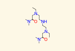 CCN(CCNCCN(CC)CC(=O)N(C)C)CC(=O)N(C)C